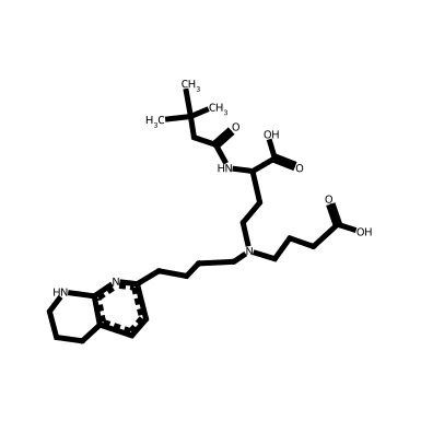 CC(C)(C)CC(=O)NC(CCN(CCCCc1ccc2c(n1)NCCC2)CCCC(=O)O)C(=O)O